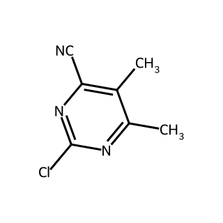 Cc1nc(Cl)nc(C#N)c1C